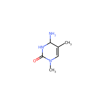 CC1=CN(C)C(=O)NC1N